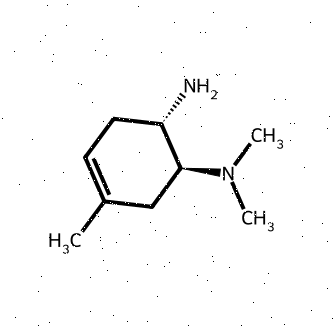 CC1=CC[C@H](N)[C@@H](N(C)C)C1